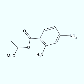 COC(C)OC(=O)c1ccc([N+](=O)[O-])cc1N